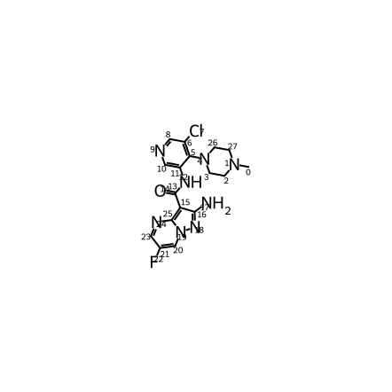 CN1CCN(c2c(Cl)cncc2NC(=O)c2c(N)nn3cc(F)cnc23)CC1